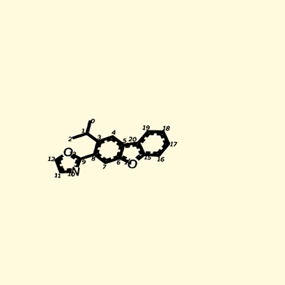 CC(C)c1cc2c(cc1-c1ncco1)oc1ccccc12